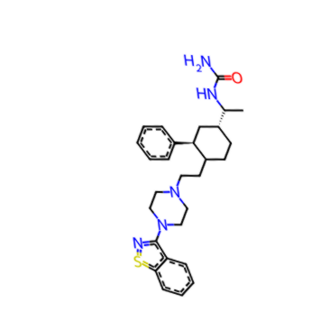 CC(NC(N)=O)[C@@H]1CCC(CCN2CCN(c3nsc4ccccc34)CC2)[C@@H](c2ccccc2)C1